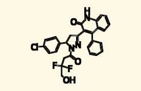 O=C(CC(F)(F)CO)N1N=C(c2c(-c3ccccc3)c3ccccc3[nH]c2=O)CC1c1ccc(Cl)cc1